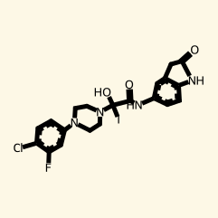 O=C1Cc2cc(NC(=O)C(O)(I)N3CCN(c4ccc(Cl)c(F)c4)CC3)ccc2N1